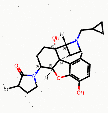 CCC1CCN([C@H]2CC[C@@]3(O)[C@H]4C(CN4CC4CC4)[C@@]34c3c(C)ccc(O)c3O[C@@H]24)C1=O